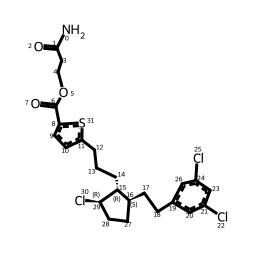 NC(=O)CCOC(=O)c1ccc(CCC[C@@H]2[C@@H](CCc3cc(Cl)cc(Cl)c3)CC[C@H]2Cl)s1